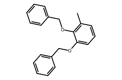 Cc1cccc(OCc2ccccc2)c1OCc1ccccc1